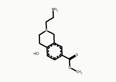 COC(=O)c1ccc2c(c1)CN(CCN)CC2.Cl